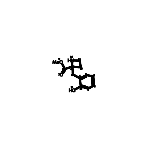 COC(=O)C1(Cc2ccccc2O)CCN1